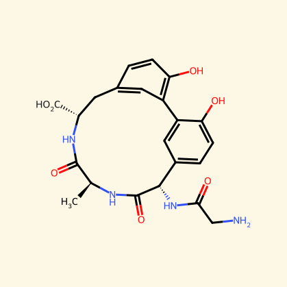 C[C@@H]1NC(=O)[C@@H](NC(=O)CN)c2ccc(O)c(c2)-c2cc(ccc2O)C[C@@H](C(=O)O)NC1=O